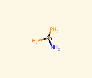 [NH2][Rh]([PH2])[PH2]